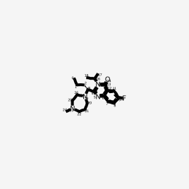 CCC[C@H](c1nc2ccc(F)cc2c(=O)n1C(C)C)N1CCCN(C)CC1